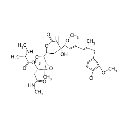 CNC(=O)C[C@H](OC(=O)[C@H](C)NC)[C@]1(C)O[C@H]1[C@H](C)[C@@H]1C[C@](O)([C@@H](/C=C/C=C(\C)Cc2ccc(Cl)c(OC)c2)OC)NC(=O)O1